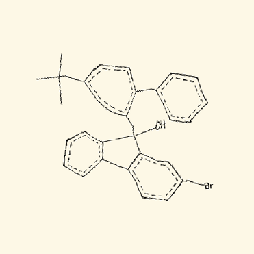 CC(C)(C)c1ccc(-c2ccccc2)c(C2(O)c3ccccc3-c3ccc(Br)cc32)c1